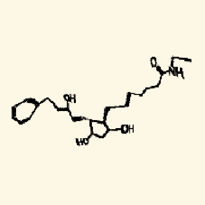 CCNC(=O)CCCC=CC[C@@H]1[C@@H](C=CC(O)CCc2ccccc2)[C@H](O)C[C@@H]1O